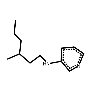 CCCC(C)CCNc1cccnc1